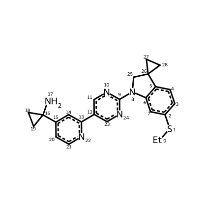 CCSc1ccc2c(c1)N(c1ncc(-c3cc(C4(N)CC4)ccn3)cn1)CC21CC1